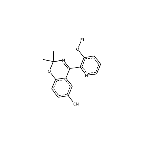 CCOc1cccnc1C1=NC(C)(C)Oc2ccc(C#N)cc21